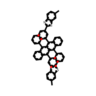 Cc1ccc2nc(-c3cccc(-c4c5ccccc5c(-c5cccc(-c6nc7ccc(C)cc7s6)c5)c5c(-c6ccccc6)c6ccccc6c(-c6ccccc6)c45)c3)sc2c1